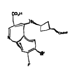 CO[C@H]1C[C@@H](Nc2c(C(=O)O)cnc3cc(F)c(Br)cc23)C1